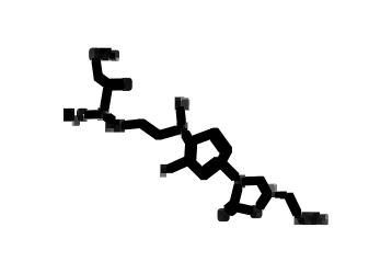 CCN(CCNN(C)C(=O)COC)c1ccc(N2C[C@H](CNC(C)=O)OC2=O)cc1F